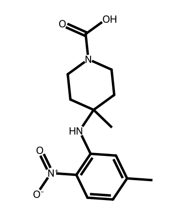 Cc1ccc([N+](=O)[O-])c(NC2(C)CCN(C(=O)O)CC2)c1